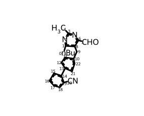 CCCCc1nc(C)nc(C=O)c1Cc1ccc(-c2ccccc2C#N)cc1